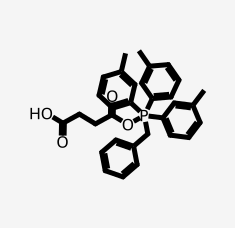 Cc1cccc(P(Cc2ccccc2)(OC(=O)CCC(=O)O)(c2cccc(C)c2)c2cccc(C)c2)c1